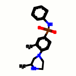 CC1CN(c2ccc(S(=O)(=O)Nc3ccccc3)cc2[N+](=O)[O-])CCN1